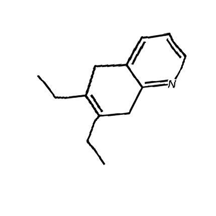 CCC1=C(CC)Cc2ncccc2C1